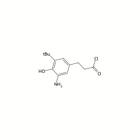 CC(C)(C)c1cc(CCC(=O)Cl)cc(N)c1O